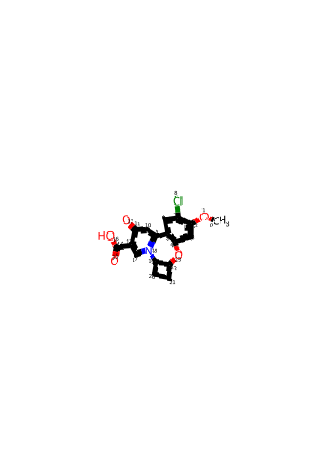 COc1cc2c(cc1Cl)-c1cc(=O)c(C(=O)O)cn1C1CCC1O2